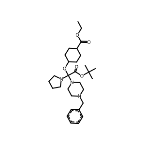 CCOC(=O)C1CCC(OC(C(=O)OC(C)(C)C)(N2CCCC2)N2CCN(Cc3ccccc3)CC2)CC1